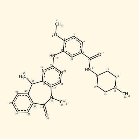 COc1ccc(C(=O)NC2CCN(C)CC2)cc1Nc1ncc2c(n1)C(C)c1ccccc1C(=O)N2C